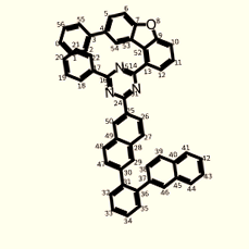 c1ccc(-c2ccc3oc4cccc(-c5nc(-c6ccccc6)nc(-c6ccc7cc(-c8ccccc8-c8ccc9ccccc9c8)ccc7c6)n5)c4c3c2)cc1